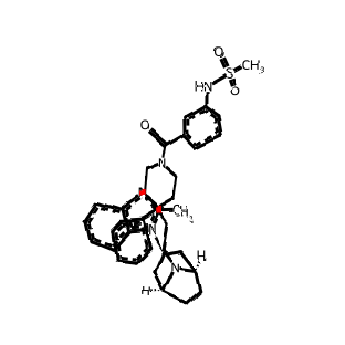 Cc1nc2ccccc2n1[C@H]1C[C@H]2CC[C@@H](C1)N2CCC1(c2ccccc2)CCN(C(=O)c2cccc(NS(C)(=O)=O)c2)CC1